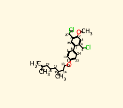 COc1cc(CCl)c(-c2ccc(OCCC(C)CCCC(C)C)cc2)cc1CCl